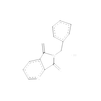 C[C@@H](c1ccccc1)N1C(=O)c2cccnc2C1=O